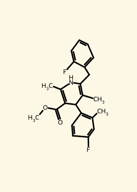 COC(=O)C1=C(C)NC(Cc2ccccc2F)=C(C)C1c1ccc(F)cc1C